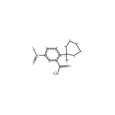 NC(=O)c1cc([N+](=O)[O-])ccc1C1(Br)CCCCC1